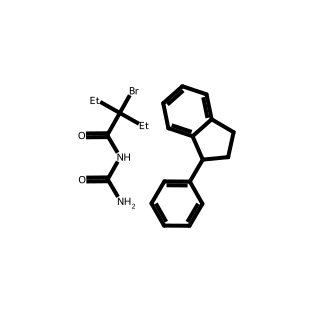 CCC(Br)(CC)C(=O)NC(N)=O.c1ccc(C2CCc3ccccc32)cc1